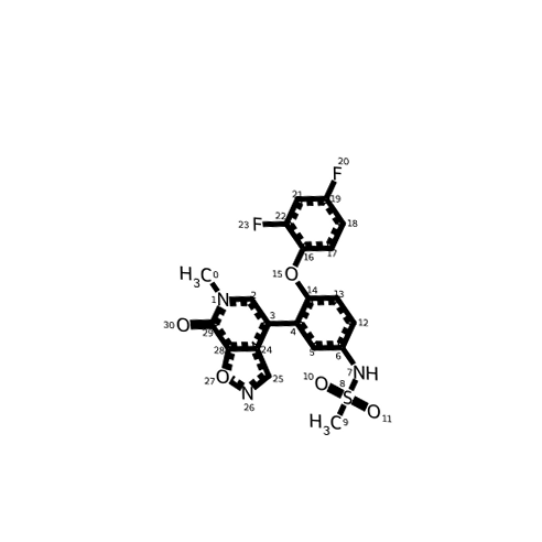 Cn1cc(-c2cc(NS(C)(=O)=O)ccc2Oc2ccc(F)cc2F)c2cnoc2c1=O